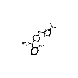 COc1ccccc1N(C(=O)O)C1CCC(Nc2nccc(N(C)C)n2)CC1